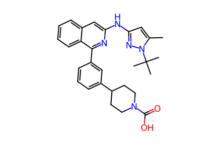 Cc1cc(Nc2cc3ccccc3c(-c3cccc(C4CCN(C(=O)O)CC4)c3)n2)nn1C(C)(C)C